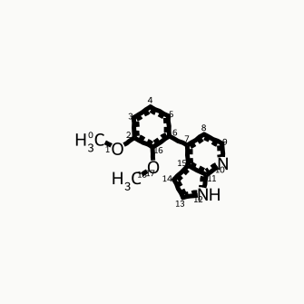 COc1cccc(-c2ccnc3[nH]ccc23)c1OC